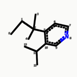 CCC(C)(C)c1ccncc1C(C)C